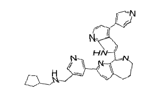 c1cc(-c2ccnc3[nH]c(C4=NCCCc5ccc(-c6cncc(CNCC7CCCC7)c6)nc54)cc23)ccn1